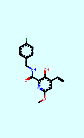 C=Cc1cc(OC)nc(C(=O)NCc2ccc(F)cc2)c1O